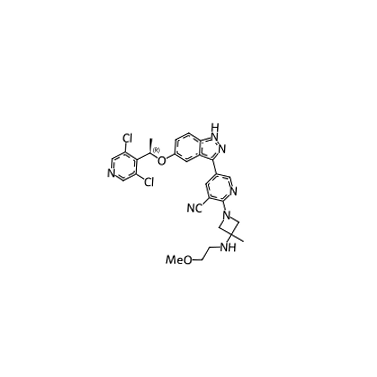 COCCNC1(C)CN(c2ncc(-c3n[nH]c4ccc(O[C@H](C)c5c(Cl)cncc5Cl)cc34)cc2C#N)C1